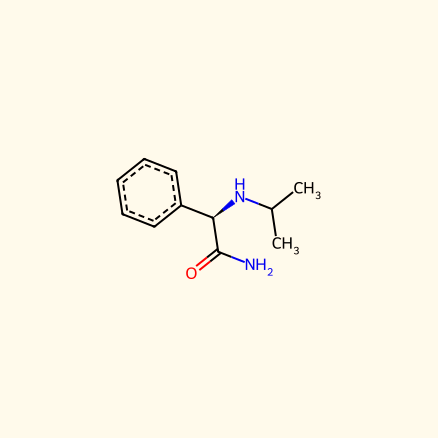 CC(C)N[C@@H](C(N)=O)c1ccccc1